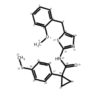 COc1ccccc1Cc1cnc(NC(=O)C2(c3ccc(SC)cc3)CC2)s1